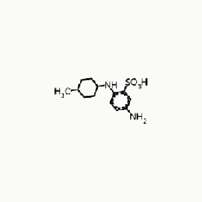 CC1CCC(Nc2ccc(N)cc2S(=O)(=O)O)CC1